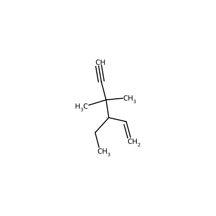 C#CC(C)(C)[C](C=C)CC